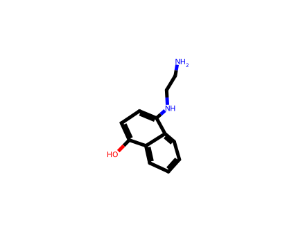 NCCNc1ccc(O)c2ccccc12